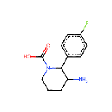 NC1CCCN(C(=O)O)C1c1ccc(F)cc1